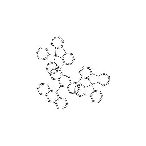 c1ccc([Si]2(c3ccccc3)c3ccccc3-c3cccc(-c4cccc5c(-c6c7ccccc7cc7ccccc67)c6cccc(-c7cccc8c7[Si](c7ccccc7)(c7ccccc7)c7ccccc7-8)c6cc45)c32)cc1